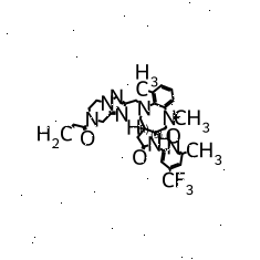 C=CC(=O)N1CCn2nc(CN3C[C@H]4CC(=O)N(c5cc(C(F)(F)F)cc(C)n5)[C@@H]4C(=O)N(C)c4cccc(C)c43)nc2C1